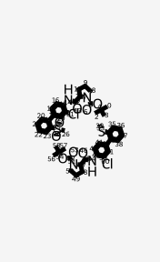 CC(C)(C)OC(=O)N1CCCC1C(=O)Nc1ccc(-c2ccccc2S(C)(=O)=O)cc1Cl.CSc1ccccc1-c1ccc(NC(=O)C2CCCN2C(=O)OC(C)(C)C)c(Cl)c1